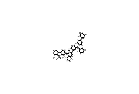 CC1(C)c2ccccc2-c2ccc(-c3c4ccccc4cc4c3oc3ccc(N(c5ccccc5)c5ccc(-c6ccccc6)cc5)cc34)cc21